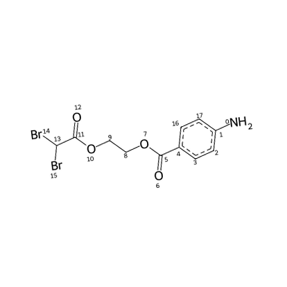 Nc1ccc(C(=O)OCCOC(=O)C(Br)Br)cc1